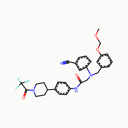 COCOc1cccc(CN(CC(=O)Nc2ccc(C3CCN(C(=O)C(F)(F)F)CC3)cc2)c2cccc(C#N)c2)c1